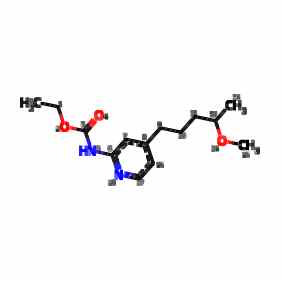 CCOC(=O)Nc1cc(CCCC(C)OC)ccn1